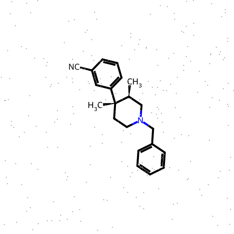 C[C@H]1CN(Cc2ccccc2)CC[C@]1(C)c1cccc(C#N)c1